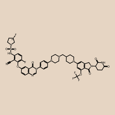 N#Cc1c(NS(=O)(=O)N2CC[C@@H](F)C2)ccc(F)c1Oc1ccc2ncn(-c3ccc(N4CCN(CC5CCN(c6cc7c(c(OC(F)(F)F)c6)C(=O)N(C6CCC(=O)NC6=O)C7)CC5)CC4)cc3)c(=O)c2c1